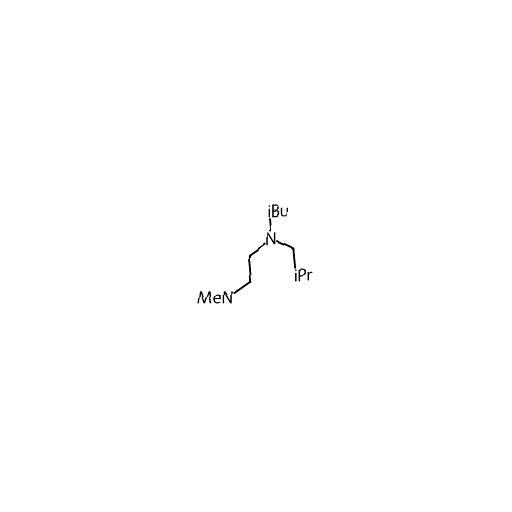 CCC(C)N(CCNC)CC(C)C